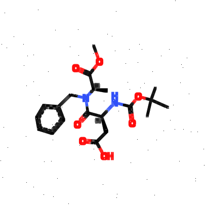 COC(=O)[C@@H](C)N(Cc1ccccc1)C(=O)[C@H](CC(=O)O)NC(=O)OC(C)(C)C